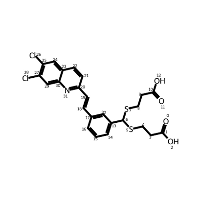 O=C(O)CCSC(SCCC(=O)O)c1cccc(C=Cc2ccc3cc(Cl)c(Cl)cc3n2)c1